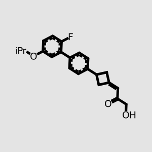 CC(C)Oc1ccc(F)c(-c2ccc(C3CC(=CC(=O)CO)C3)cc2)c1